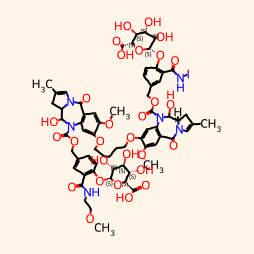 COCCNC(=O)c1cc(COC(=O)N2c3cc(OCCCCCOc4cc5c(cc4OC)C(=O)N4C=C(C)C[C@H]4C(O)N5C(=O)OCc4ccc(O[C@@H]5O[C@H](C(=O)O)[C@@H](O)[C@H](O)[C@H]5O)c(C(=O)NI)c4)c(OC)cc3C(=O)N3C=C(C)CC3C2O)ccc1O[C@@H]1O[C@H](C(=O)O)[C@@H](O)[C@H](O)[C@H]1O